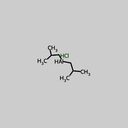 CC(C)[CH2][AlH][CH2]C(C)C.Cl